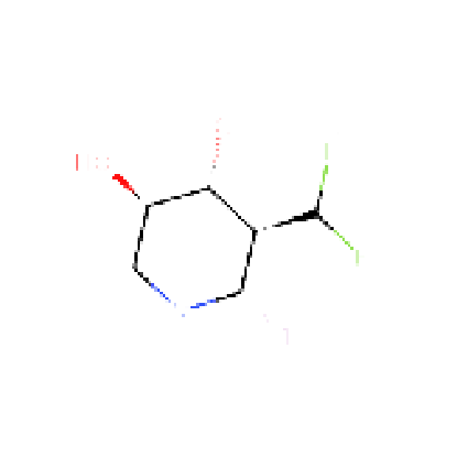 O[C@@H]1[C@@H](C(F)F)[C@H](I)NC[C@H]1O